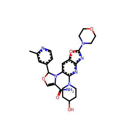 Cc1cc(C2OC=C(C(N)=O)N2c2cc3oc(N4CCOCC4)nc3nc2N2CCC(O)CC2)ccn1